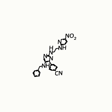 N#Cc1ccc(-c2nc(NCCNc3ccc([N+](=O)[O-])cn3)ncc2NCc2ccccc2)cc1